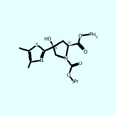 Cc1nc([C@]2(O)C[C@@H](C(=O)OP)N(C(=O)OC(C)C)C2)sc1C